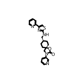 O=C1O[C@]2(CC[C@H](CNc3nc(-c4ccccn4)cs3)CC2)CN1c1cccnc1